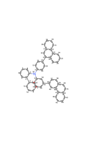 c1ccc(-c2ccccc2N(c2ccc(-c3cc4ccccc4c4ccccc34)cc2)c2cccc(-c3ccc4ccc5ccccc5c4c3)c2)cc1